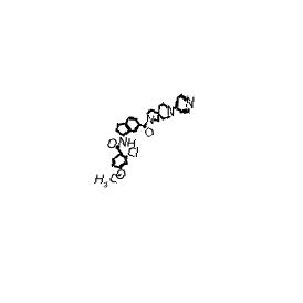 COc1ccc(C(=O)N[C@@H]2CCc3ccc(C(=O)N4CCC5(CCN(c6ccncc6)CC5)C4)cc32)c(Cl)c1